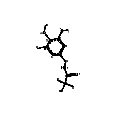 COc1cc(CNC(=O)C(C)(C)C)cc(C)c1OC